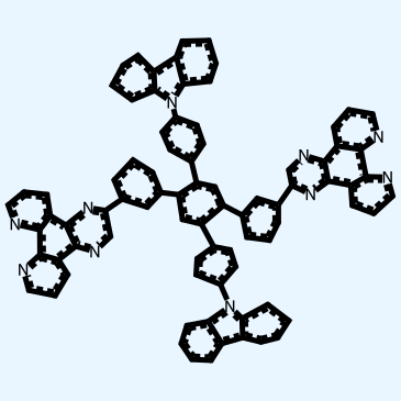 c1cc(-c2cnc3c4cccnc4c4ncccc4c3n2)cc(-c2cc(-c3ccc(-n4c5ccccc5c5ccccc54)cc3)c(-c3cccc(-c4cnc5c6cccnc6c6ncccc6c5n4)c3)cc2-c2ccc(-n3c4ccccc4c4ccccc43)cc2)c1